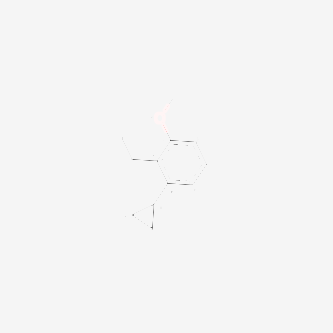 CCc1c(OC)cccc1C1CC1